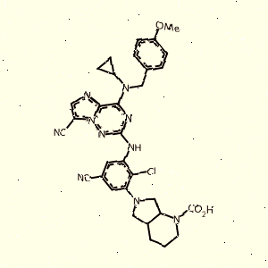 COc1ccc(CN(c2nc(Nc3cc(C#N)cc(N4CC5CCCN(C(=O)O)C5C4)c3Cl)nn3c(C#N)cnc23)C2CC2)cc1